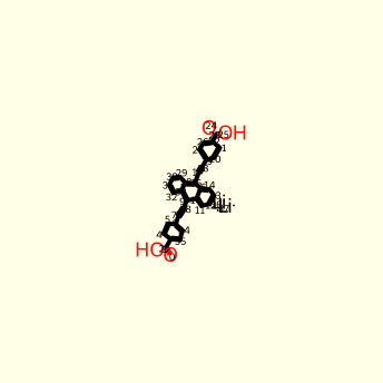 O=C(O)c1ccc(C#Cc2c3ccccc3c(C#Cc3ccc(C(=O)O)cc3)c3ccccc23)cc1.[Li].[Li]